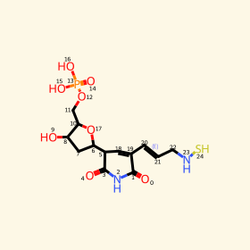 O=C1NC(=O)C(C2CC(O)C(COP(=O)(O)O)O2)C=C1/C=C/CNS